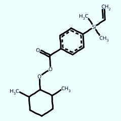 C=C[Si](C)(C)c1ccc(C(=O)OO[C]2C(C)CCCC2C)cc1